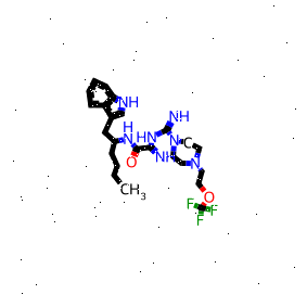 CCCCC(Cc1c[nH]c2ccccc12)NC(=O)C(=N)NC(=N)N1CCN(CCOC(F)(F)F)CC1